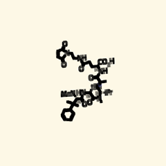 CN[C@H](C(=O)N[C@H](C(=O)N(C)[C@H](/C=C(\C)C(=O)N[C@@H](CCC(=O)NCCN1C(=O)C=CC1=O)C(=O)O)C(C)C)C(C)(C)C)C(C)(C)c1ccccc1